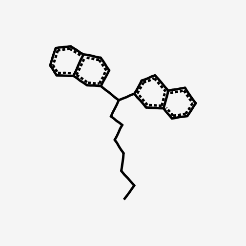 CCCCCCC[C](c1ccc2ccccc2c1)c1ccc2ccccc2c1